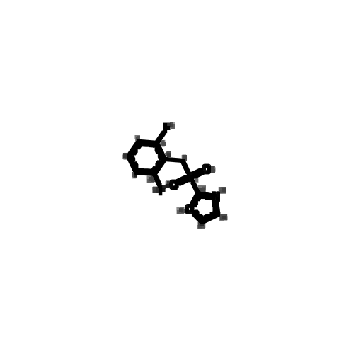 O=S(=O)(Cc1c(F)cccc1F)c1ncco1